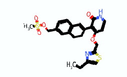 CCc1csc(COc2cc[nH]c(=O)c2C2=Cc3ccc(COS(C)(=O)=O)cc3CC2)n1